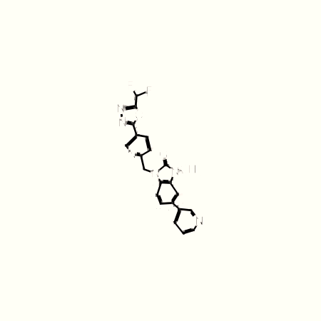 Cn1c(=O)n(Cc2ccc(-c3nnc(C(F)F)o3)cn2)c2ccc(-c3cccnc3)cc21